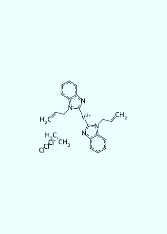 C=CCn1[c]([V+3][c]2nc3ccccc3n2CC=C)nc2ccccc21.CC.[Cl-].[Cl-].[Cl-]